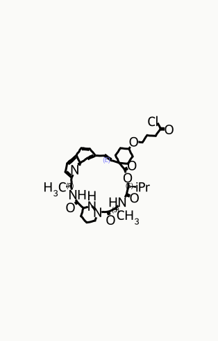 CC(C)[C@@H]1OC(=O)C2(/C=C/c3ccc4ccc(nc4c3)[C@@H](C)NC(=O)C3CCCN(N3)C(=O)[C@H](C)NC1=O)CCC(OCCCC(=O)Cl)CC2